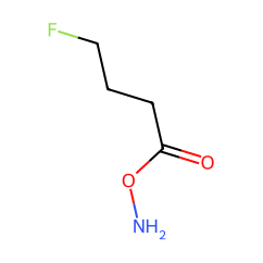 NOC(=O)CCCF